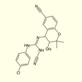 CC1(C)Oc2ccc(C#N)cc2C(N=C(NC#N)Nc2ccc(Cl)cc2)C1O